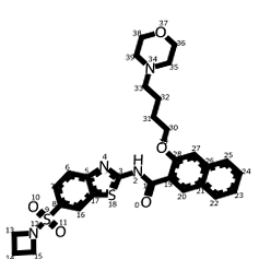 O=C(Nc1nc2ccc(S(=O)(=O)N3CCC3)cc2s1)c1cc2ccccc2cc1OCCCCN1CCOCC1